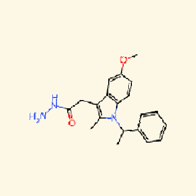 COc1ccc2c(c1)c(CC(=O)NN)c(C)n2C(C)c1ccccc1